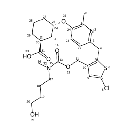 Cc1nc(Cc2sc(Cl)cc2COC(=O)N(C)CCCCO)ccc1O[C@H]1CCC[C@H](C(=O)O)C1